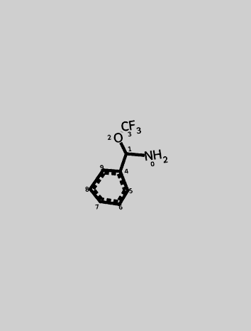 NC(OC(F)(F)F)c1ccccc1